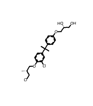 C[C@@H](CCl)COc1ccc(C(C)(C)c2ccc(OC[C@H](O)CO)cc2)cc1Cl